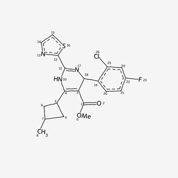 COC(=O)C1=C(C2CC(C)C2)NC(c2nccs2)=NC1c1ccc(F)cc1Cl